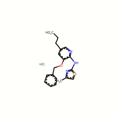 Cc1csc(Nc2ncc(CCC(=O)O)cc2OCc2ccccc2)n1.Cl